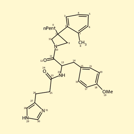 CCCCCC1(c2ccccc2C)CN(C(=O)C(Cc2ccc(OC)cc2)NC(=O)CCc2c[nH]cn2)C1